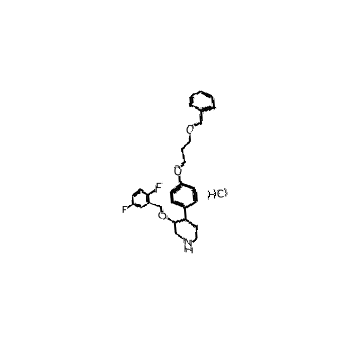 Cl.Fc1ccc(F)c(COC2CNCCC2c2ccc(OCCCOCc3ccccc3)cc2)c1